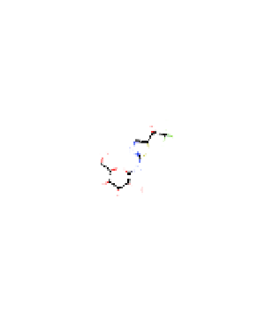 O=C(c1cnc(NC2OC(CO)C(O)C(O)[C@@H]2O)s1)C(F)(F)F